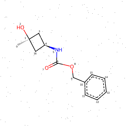 C[C@]1(O)C[C@@H](NC(=O)OCc2ccccc2)C1